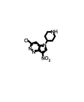 O=[N+]([O-])c1cn(C2CCNCC2)c2cc(Cl)nnc12